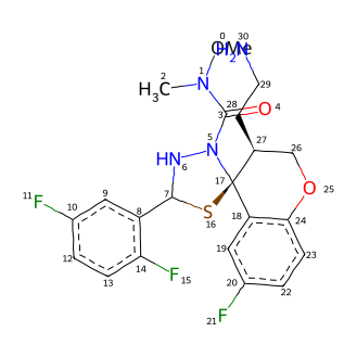 CON(C)C(=O)N1NC(c2cc(F)ccc2F)S[C@@]12c1cc(F)ccc1OC[C@@H]2CCN